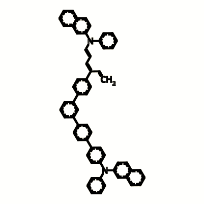 C=C/C(=C\C=C\N(c1ccccc1)c1ccc2ccccc2c1)c1ccc(-c2cccc(-c3ccc(-c4ccc(N(c5ccccc5)c5ccc6ccccc6c5)cc4)cc3)c2)cc1